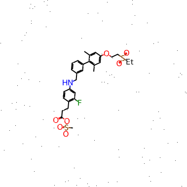 CCS(=O)(=O)CCOc1cc(C)c(-c2cccc(CNc3ccc(CCC(=O)OS(C)(=O)=O)c(F)c3)c2)c(C)c1